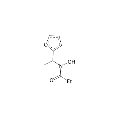 CCC(=O)N(O)C(C)c1ccco1